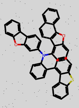 c1ccc(N(c2ccc3c(c2)oc2ccccc23)c2cccc3oc4c5ccccc5ccc4c23)c(-c2cccc3sc4ccccc4c23)c1